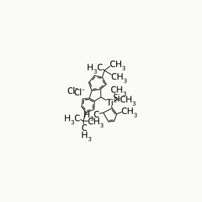 CC1=[C]([Ti+2]([CH]2c3cc(C(C)(C)C)ccc3-c3ccc(C(C)(C)C)cc32)=[Si](C)C)C(C)C=C1.[Cl-].[Cl-]